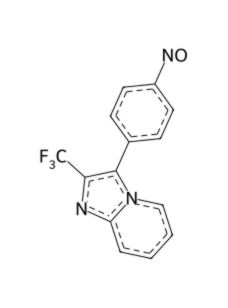 O=Nc1ccc(-c2c(C(F)(F)F)nc3ccccn23)cc1